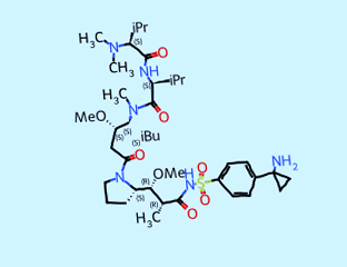 CC[C@H](C)[C@@H]([C@H](CC(=O)N1CCC[C@H]1[C@H](OC)[C@@H](C)C(=O)NS(=O)(=O)c1ccc(C2(N)CC2)cc1)OC)N(C)C(=O)[C@@H](NC(=O)[C@H](C(C)C)N(C)C)C(C)C